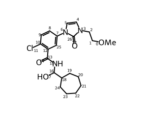 COCCn1ccn(-c2ccc(Cl)c(C(=O)NC(O)C3CCCCCC3)c2)c1=O